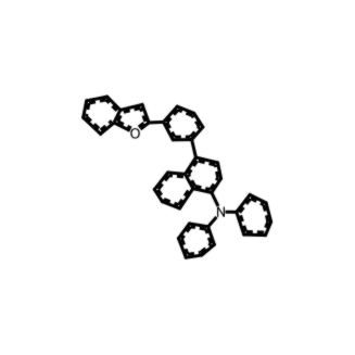 c1ccc(N(c2ccccc2)c2ccc(-c3cccc(-c4cc5ccccc5o4)c3)c3ccccc23)cc1